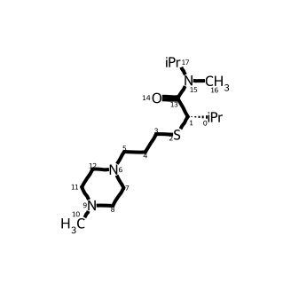 CC(C)[C@H](SCCCN1CCN(C)CC1)C(=O)N(C)C(C)C